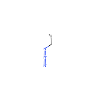 [2H]CN=[N+]=[N-]